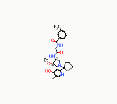 CCO[C@@H]1CN(C2(c3cc(O)c(C)cn3)CCCCC2)C[C@@H]1NC(=O)CNC(=O)c1cccc(C(F)(F)F)c1